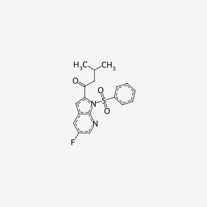 CC(C)CC(=O)c1cc2cc(F)cnc2n1S(=O)(=O)c1ccccc1